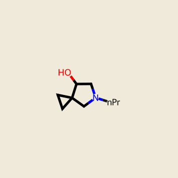 CCCN1CC(O)C2(CC2)C1